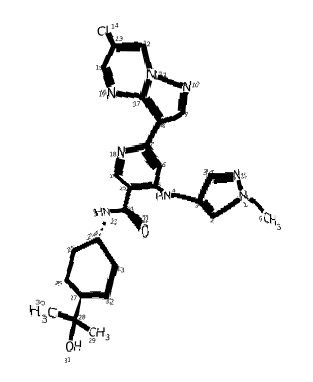 Cn1cc(Nc2cc(-c3cnn4cc(Cl)cnc34)ncc2C(=O)N[C@H]2CC[C@H](C(C)(C)O)CC2)cn1